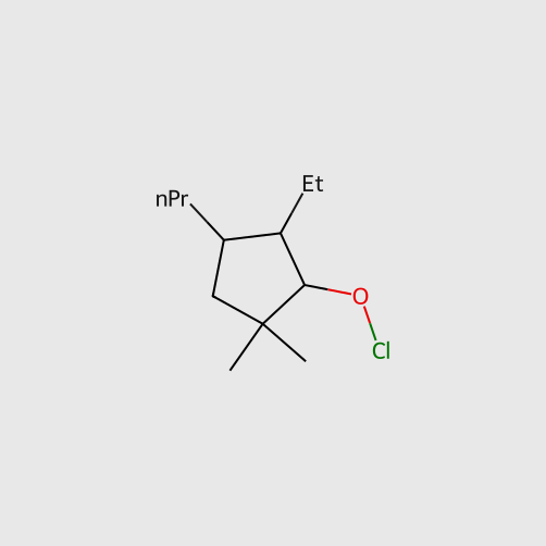 CCCC1CC(C)(C)C(OCl)C1CC